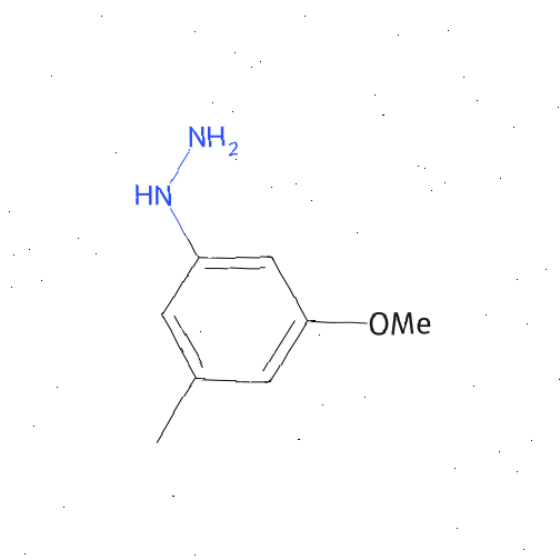 COc1cc(C)cc(NN)c1